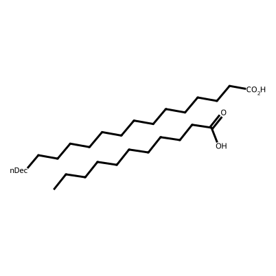 CCCCCCCCCCC(=O)O.CCCCCCCCCCCCCCCCCCCCCCCC(=O)O